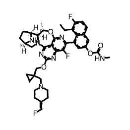 CCc1c(F)ccc2cc(OC(=O)NC)cc(-c3nc4c5c(nc(OCC6(CN7CCC(=CF)CC7)CC6)nc5c3F)N3C[C@H]5CC[C@H](N5)[C@H]3[C@H](C)O4)c12